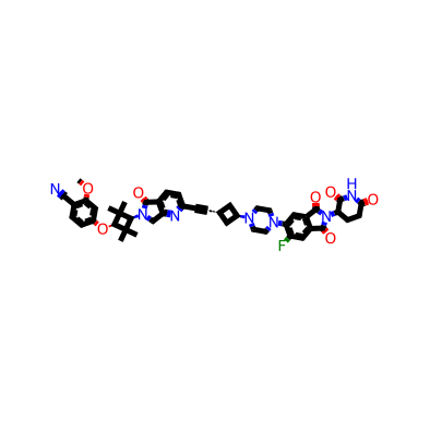 COc1cc(O[C@H]2C(C)(C)[C@H](N3Cc4nc(C#C[C@H]5C[C@H](N6CCN(c7cc8c(cc7F)C(=O)N(C7CCC(=O)NC7=O)C8=O)CC6)C5)ccc4C3=O)C2(C)C)ccc1C#N